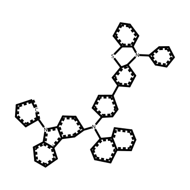 c1ccc(N2c3ccccc3Sc3cc(-c4ccc(N(c5ccc6c(c5)c5ccccc5n6-c5ccccc5)c5cccc6ccccc56)cc4)ccc32)cc1